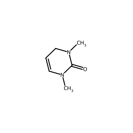 CN1C=CCN(C)C1=O